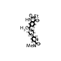 CCn1c(=O)[nH]c2cc(C(C)N3CCN(c4ccc(C(=O)NC)nc4)CC3)ccc2c1=O